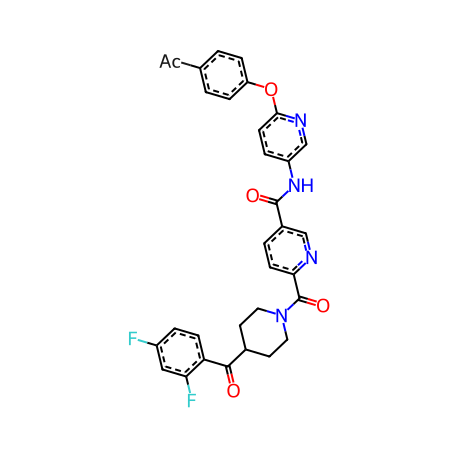 CC(=O)c1ccc(Oc2ccc(NC(=O)c3ccc(C(=O)N4CCC(C(=O)c5ccc(F)cc5F)CC4)nc3)cn2)cc1